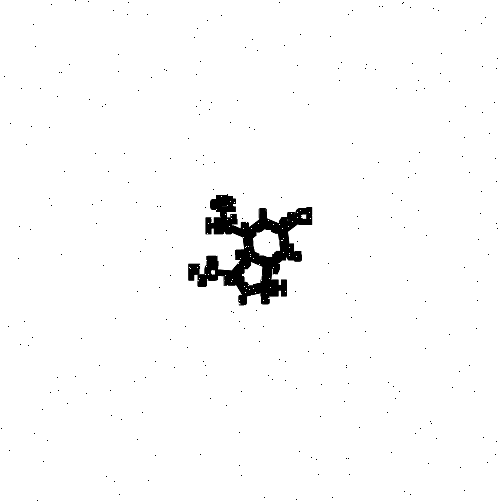 CCNc1cc(Cl)nc2[nH]cc(C(F)(F)F)c12